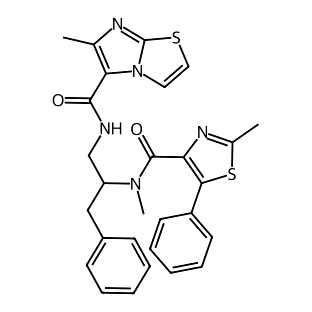 Cc1nc(C(=O)N(C)C(CNC(=O)c2c(C)nc3sccn23)Cc2ccccc2)c(-c2ccccc2)s1